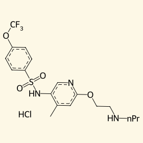 CCCNCCOc1cc(C)c(NS(=O)(=O)c2ccc(OC(F)(F)F)cc2)cn1.Cl